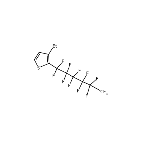 CCc1ccsc1C(F)(F)C(F)(F)C(F)(F)C(F)(F)C(F)(F)C(F)(F)F